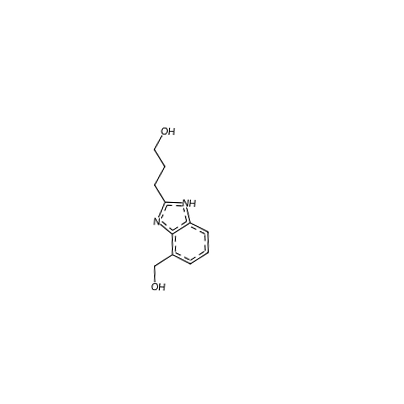 OCCCc1nc2c(CO)cccc2[nH]1